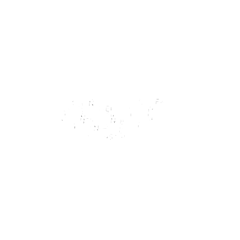 CCc1nc2ccc(C)cn2c1N(C)c1nc(-c2ccc(F)cc2)cs1